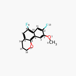 COc1cc2c3c(cc(F)c2cc1F)CCCO3